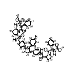 COC(=O)N[C@@H](C(=O)N1CCC[C@H]1C(=O)Nc1ccc([C@@H]2CC[C@@H](c3ccc(NC(=O)[C@@H]4CCCN4C(=O)[C@H](NC(=O)OC)c4ccccc4)cc3)N2c2ccc(F)cc2)cc1)c1ccccc1